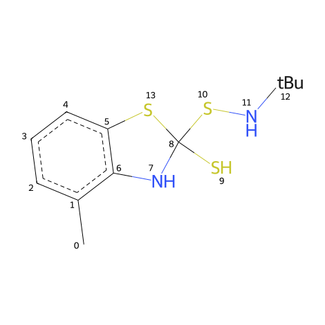 Cc1cccc2c1NC(S)(SNC(C)(C)C)S2